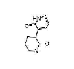 O=C1[N]CCCC1c1ccc[nH]c1=O